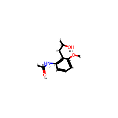 COc1cccc(NC(C)=O)c1CC(C)O